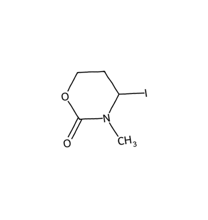 CN1C(=O)OCCC1I